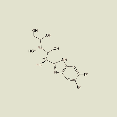 OCC(O)[C@@H](O)C(O)[C@H](O)c1nc2cc(Br)c(Br)cc2[nH]1